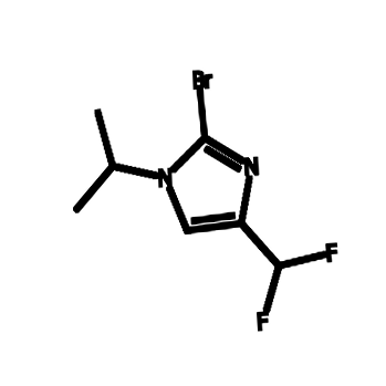 CC(C)n1cc(C(F)F)nc1Br